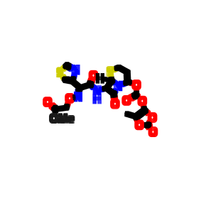 COC(=O)CON=C(C(=O)NC1C(=O)N2C(OC(=O)Oc3oc(=O)oc3C)=CCS[C@@H]12)c1cscn1